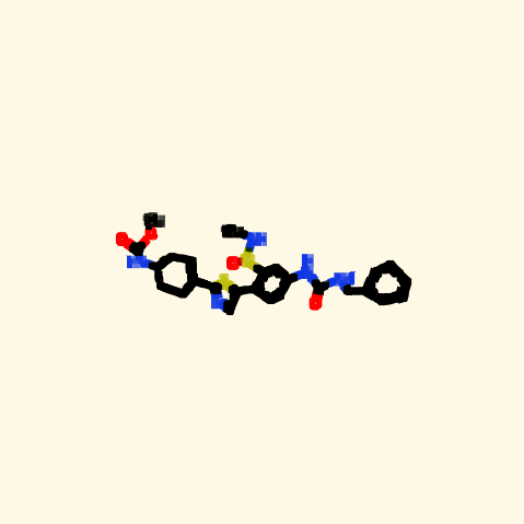 CC(C)(C)N[S+]([O-])c1cc(NC(=O)NCc2ccccc2)ccc1-c1cnc(C2=CCC(NC(=O)OC(C)(C)C)CC2)s1